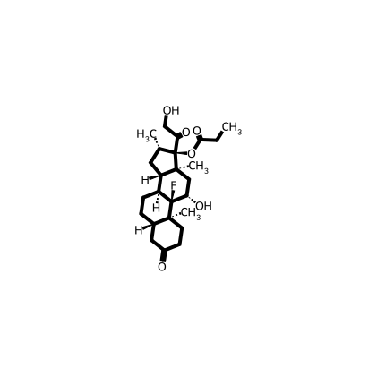 CCC(=O)O[C@]1(C(=O)CO)[C@@H](C)C[C@H]2[C@@H]3CC[C@H]4CC(=O)CC[C@]4(C)[C@@]3(F)[C@@H](O)C[C@@]21C